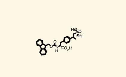 CC(CP(=O)(O)O)c1ccc(C[C@H](NC(=O)OCC2c3ccccc3-c3ccccc32)C(=O)O)cc1